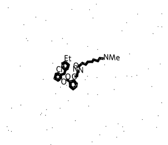 CCc1ccc(C(OC(=O)c2ccccc2OCc2noc(CCCCCCCCNC)n2)c2ccccc2Cl)cc1